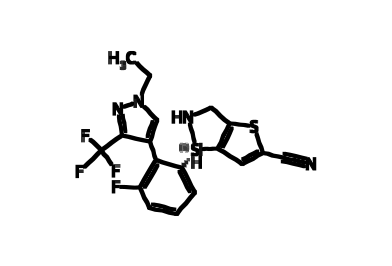 CCn1cc(-c2c(F)cccc2[Si@@H]2NCc3sc(C#N)cc32)c(C(F)(F)F)n1